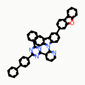 c1ccc(-c2ccc(-c3nc(-c4ccccc4)nc(-c4cccnc4-n4c5ccccc5c5cc(-c6ccc7c(c6)oc6ccccc67)ccc54)n3)cc2)cc1